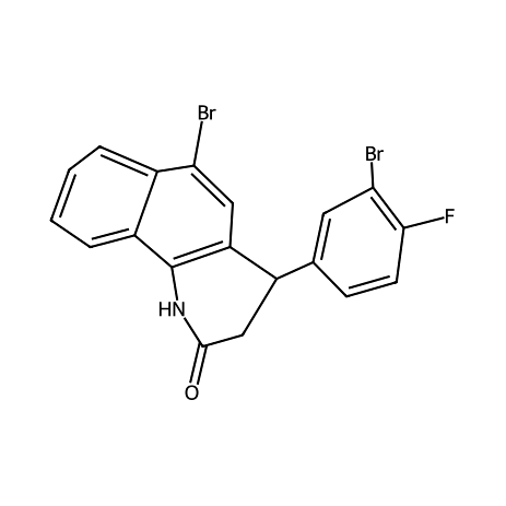 O=C1CC(c2ccc(F)c(Br)c2)c2cc(Br)c3ccccc3c2N1